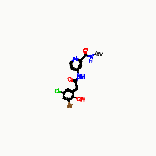 CC(C)(C)NC(=O)c1cc(NC(=O)Cc2cc(Cl)cc(Br)c2O)ccn1